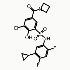 O=C(c1cc(Cl)c(O)c(S(=O)(=O)Nc2cc(C3CC3)c(F)cc2F)c1)N1CCC1